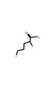 NC(=O)C(I)CCCI